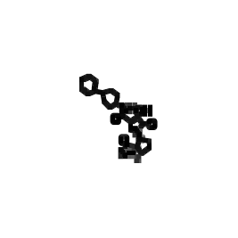 NC(=O)[C@@H]1CCC[C@@H]1N1CC(C(=O)NC2CCC(c3ccccc3)CC2)=C(O)C1=O